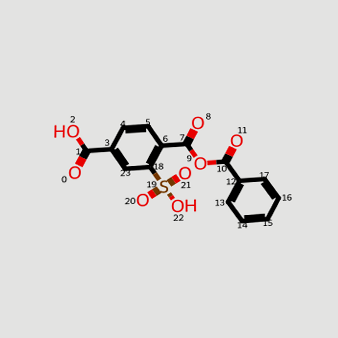 O=C(O)c1ccc(C(=O)OC(=O)c2ccccc2)c(S(=O)(=O)O)c1